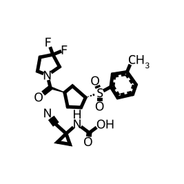 Cc1cccc(S(=O)(=O)[C@@H]2CC[C@@H](C(=O)N3CCC(F)(F)C3)C2)c1.N#CC1(NC(=O)O)CC1